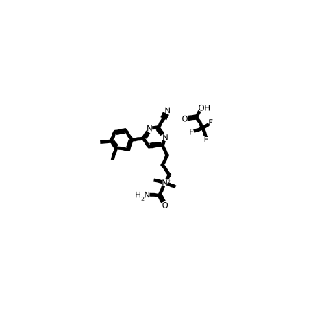 Cc1ccc(-c2cc(CCC[N+](C)(C)C(N)=O)nc(C#N)n2)cc1C.O=C(O)C(F)(F)F